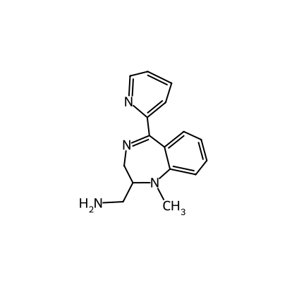 CN1c2ccccc2C(c2ccccn2)=NCC1CN